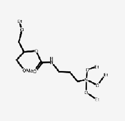 CCOCC(COC)OC(=O)NCCC[Si](OCC)(OCC)OCC